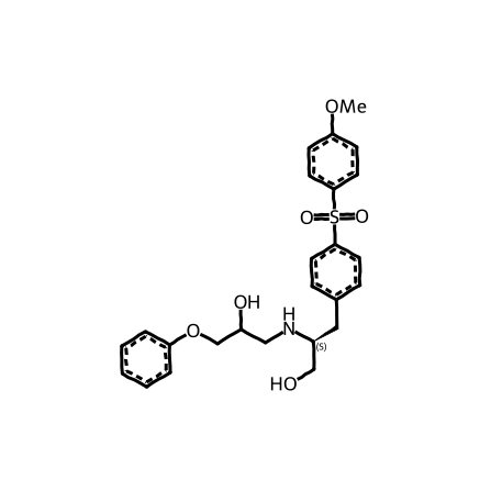 COc1ccc(S(=O)(=O)c2ccc(C[C@@H](CO)NCC(O)COc3ccccc3)cc2)cc1